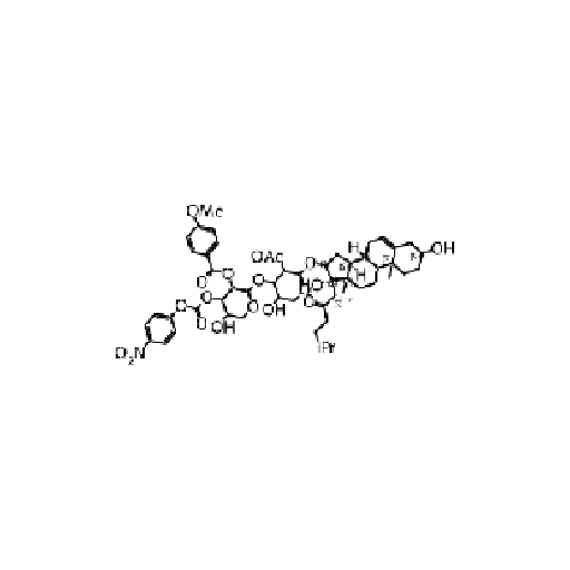 COc1ccc(C(=O)OC2C(OC3C(O)COC(O[C@H]4C[C@H]5[C@@H]6CC=C7C[C@@H](O)CC[C@]7(C)C6CC[C@]5(C)[C@@]4(O)[C@H](C)C(=O)CCC(C)C)C3OC(C)=O)OCC(O)C2OC(=O)Oc2ccc([N+](=O)[O-])cc2)cc1